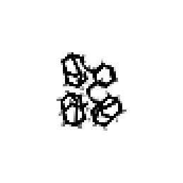 c1ccc([PH]23CC4CC(CC(C4)C2)C3)c(CP(C23CC4CC(CC(C4)C2)C3)C23CC4CC(CC(C4)C2)C3)c1